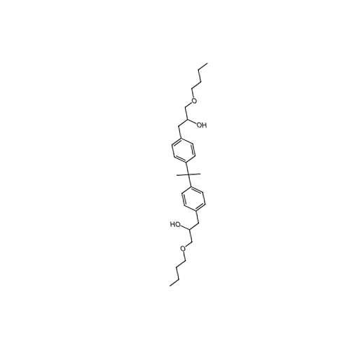 CCCCOCC(O)Cc1ccc(C(C)(C)c2ccc(CC(O)COCCCC)cc2)cc1